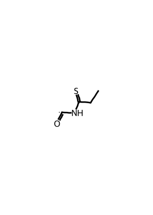 CCC(=S)N[C]=O